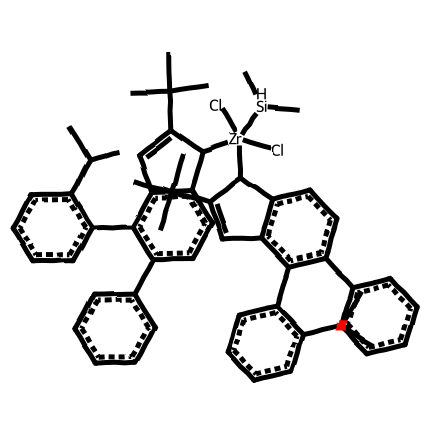 CC(C)c1ccccc1-c1c(-c2ccccc2)ccc2c1C=C(C(C)(C)C)[CH]2[Zr]([Cl])([Cl])([CH]1C(C(C)(C)C)=Cc2c1ccc(-c1ccccc1)c2-c1ccccc1C(C)C)[SiH](C)C